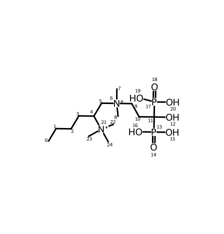 CCCCC(C[N+](C)(C)CCC(O)(P(=O)(O)O)P(=O)(O)O)[N+](C)(C)C